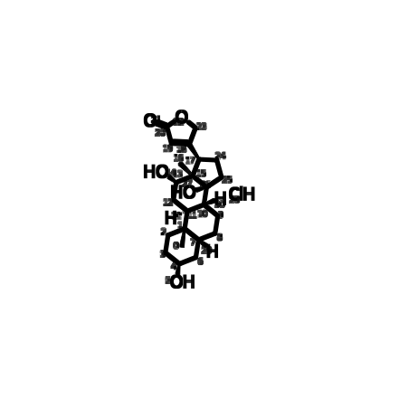 C[C@]12CC[C@H](O)C[C@H]1CC[C@@H]1[C@@H]2C[C@@H](O)[C@]2(C)[C@@H](C3=CC(=O)OC3)CC[C@]12O.Cl